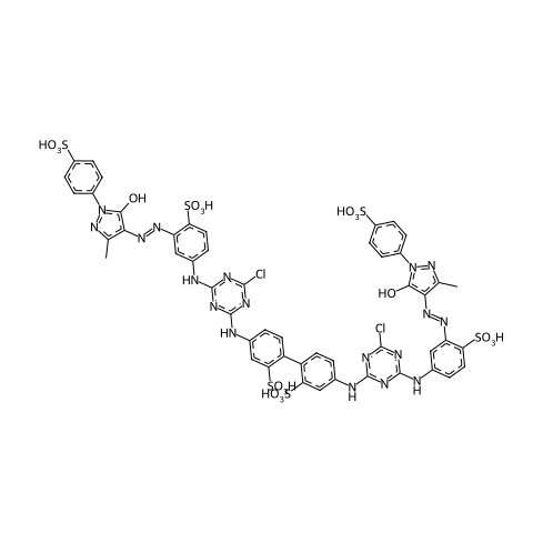 Cc1nn(-c2ccc(S(=O)(=O)O)cc2)c(O)c1/N=N/c1cc(Nc2nc(Cl)nc(Nc3ccc(-c4ccc(Nc5nc(Cl)nc(Nc6ccc(S(=O)(=O)O)c(/N=N/c7c(C)nn(-c8ccc(S(=O)(=O)O)cc8)c7O)c6)n5)cc4S(=O)(=O)O)c(S(=O)(=O)O)c3)n2)ccc1S(=O)(=O)O